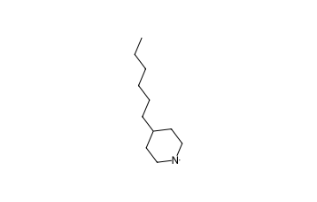 CCCCCCC1CC[N]CC1